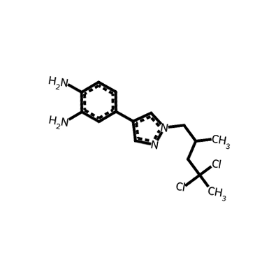 CC(Cn1cc(-c2ccc(N)c(N)c2)cn1)CC(C)(Cl)Cl